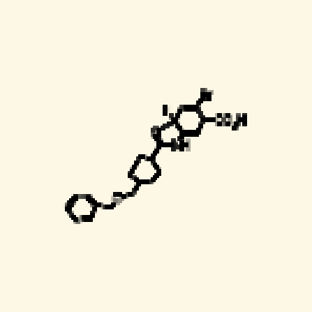 CC1(F)C=C(Br)C(C(=O)O)C=C1NC(=O)C1CCC(COCc2ccccc2)CC1